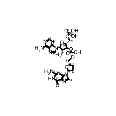 C[C@H]1C(OP(=O)(O)OC[C@@H]2CC[C@H](n3cnc4c(=O)[nH]c(N)nc43)O2)[C@@H](COP(=O)(O)O)O[C@H]1n1cnc2c(N)ncnc21